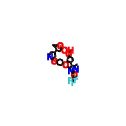 COc1ccc(-c2c(C)nc(OCC(F)(F)F)nc2C)c(O[C@H]2CC[C@H](Oc3cc(C(CC(=O)O)C4CC4)ccn3)CC2)c1